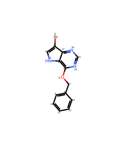 Brc1c[nH]c2c(OCc3ccccc3)ncnc12